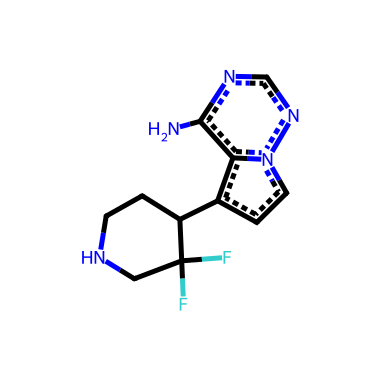 Nc1ncnn2ccc(C3CCNCC3(F)F)c12